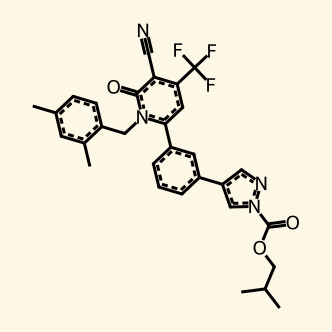 Cc1ccc(Cn2c(-c3cccc(-c4cnn(C(=O)OCC(C)C)c4)c3)cc(C(F)(F)F)c(C#N)c2=O)c(C)c1